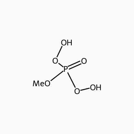 COP(=O)(OO)OO